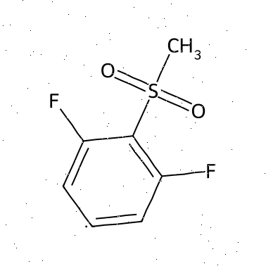 CS(=O)(=O)c1c(F)c[c]cc1F